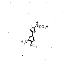 Nc1cc(-c2csc(NC(=O)O)n2)ccc1[N+](=O)[O-]